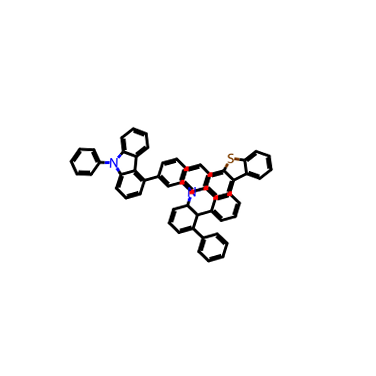 C1=CC(N(c2cccc(-c3cccc4c3c3ccccc3n4-c3ccccc3)c2)c2ccc3c(c2)sc2ccccc23)C(c2ccccc2-c2ccccc2)C(c2ccccc2)=C1